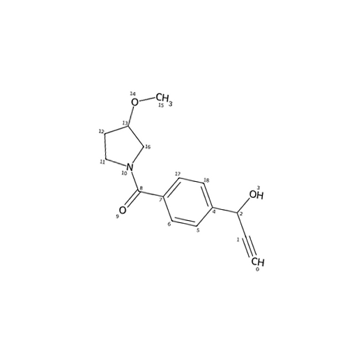 C#CC(O)c1ccc(C(=O)N2CCC(OC)C2)cc1